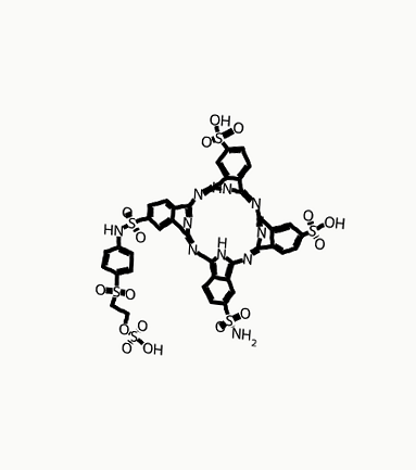 NS(=O)(=O)c1ccc2c3nc4nc(nc5[nH]c(nc6nc(nc([nH]3)c2c1)-c1ccc(S(=O)(=O)O)cc1-6)c1ccc(S(=O)(=O)O)cc51)-c1ccc(S(=O)(=O)Nc2ccc(S(=O)(=O)CCOS(=O)(=O)O)cc2)cc1-4